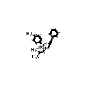 C=C(C)CN(CC#Cc1ccccc1)S(=O)(=O)c1ccc(C)cc1